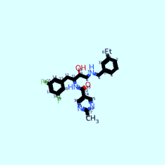 CCc1cccc(CNC[C@H](O)C(Cc2cc(F)cc(F)c2)NC(=O)c2cnc(C)nc2)c1